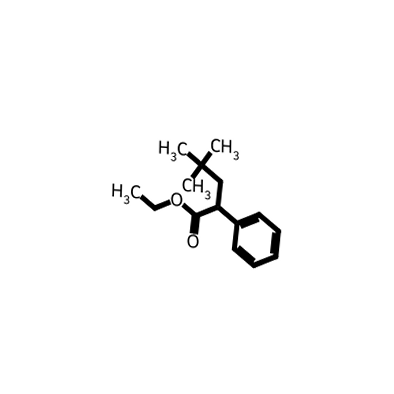 CCOC(=O)C(CC(C)(C)C)c1ccccc1